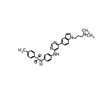 Cc1ccc(S(=O)(=O)Nc2ccc(Nc3cc(-c4ccc5c(ccn5CCCN(C)C)c4)ncn3)cc2)cc1